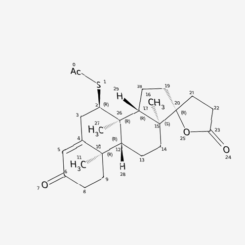 CC(=O)S[C@@H]1CC2=CC(=O)CC[C@]2(C)[C@H]2CC[C@@]3(C)[C@@H](CC[C@@]34CCC(=O)O4)[C@]12C